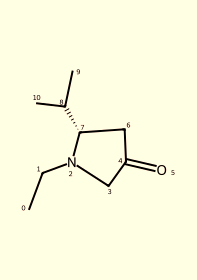 CCN1CC(=O)C[C@H]1C(C)C